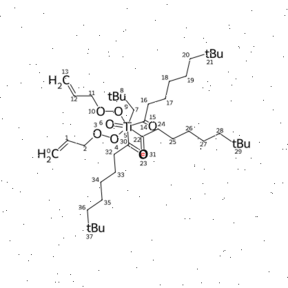 C=CCO[O][Ti](=[O])([CH2]C(C)(C)C)([O]OCC=C)([C](=O)CCCCCC(C)(C)C)([C](=O)CCCCCC(C)(C)C)[C](=O)CCCCCC(C)(C)C